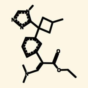 CCOC(=O)/C(=C/N(C)C)c1cccc(C2(c3nncn3C)CC(C)C2)c1